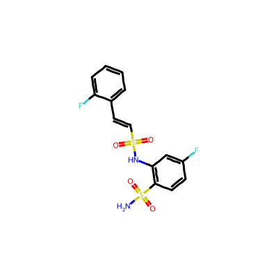 NS(=O)(=O)c1ccc(F)cc1NS(=O)(=O)C=Cc1ccccc1F